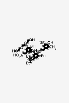 CCOP(=O)(Cc1cc(C(C)(C)C)c(O)c(C(C)(C)C)c1)OCC.Cc1cc(CCC(=O)O)cc(C(C)(C)C)c1O.Cc1cc(CCC(=O)O)cc(C(C)(C)C)c1O.OCCOCCOCCO